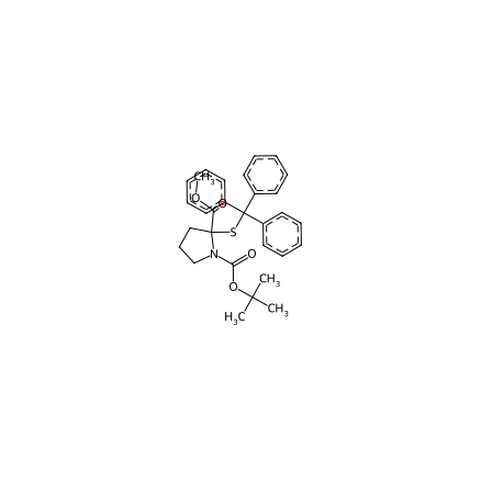 COC(=O)C1(SC(c2ccccc2)(c2ccccc2)c2ccccc2)CCCN1C(=O)OC(C)(C)C